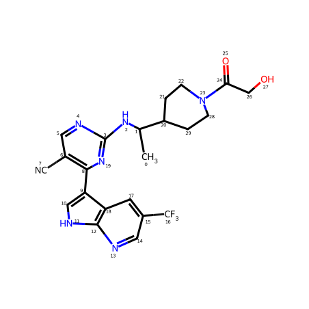 CC(Nc1ncc(C#N)c(-c2c[nH]c3ncc(C(F)(F)F)cc23)n1)C1CCN(C(=O)CO)CC1